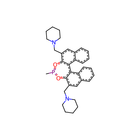 Cp1oc2c(CN3CCCCC3)cc3ccccc3c2c2c(o1)c(CN1CCCCC1)cc1ccccc12